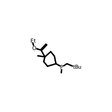 C=C(OCC)C1(C)CCC(P(C)CC(C)(C)C)CC1